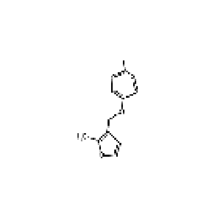 Cc1occc1COc1ccc(I)cc1